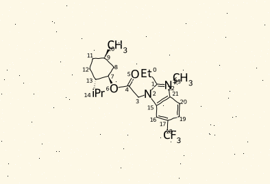 CCc1n(CC(=O)O[C@@H]2C[C@H](C)CC[C@H]2C(C)C)c2cc(C(F)(F)F)ccc2[n+]1C